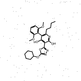 CCCCc1nc(O)c(-c2nnc(OC3CCCCC3)o2)c(O)c1-c1c(OC)cccc1OC